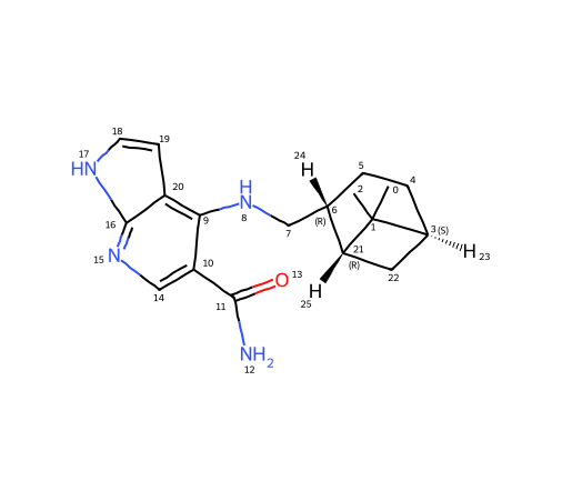 CC1(C)[C@H]2CC[C@@H](CNc3c(C(N)=O)cnc4[nH]ccc34)[C@H]1C2